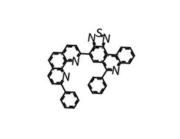 c1ccc(-c2ccc3ccc4ccc(-c5cc6c(-c7ccccc7)nc7ccccc7c6c6nsnc56)nc4c3n2)cc1